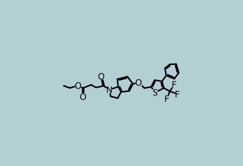 CCOC(=O)CCC(=O)N1CCc2cc(OCc3cc(-c4ccccc4)c(C(F)(F)F)s3)ccc21